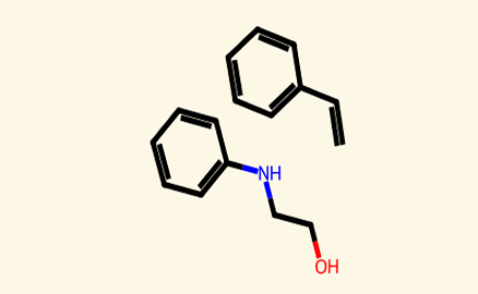 C=Cc1ccccc1.OCCNc1ccccc1